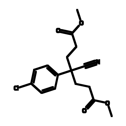 COC(=O)CCC(C#N)(CCC(=O)OC)c1ccc(Cl)cc1